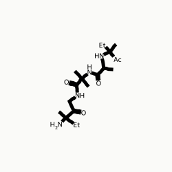 CCC(C)(N)C(=O)CNC(=O)C(C)(C)NC(=O)C(C)NC(C)(CC)C(C)=O